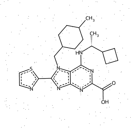 CC1CCC(Cn2c(-c3nccs3)nc3nc(C(=O)O)nc(N[C@H](C)C4CCC4)c32)CC1